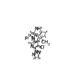 CC1(C)CCC2=C1N1C(=CC(F)N1c1cnc(-n3nccn3)c(Cl)c1)N=C2